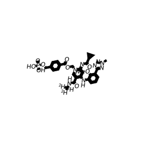 [2H]C([2H])([2H])NC(=O)c1cn(COC(=O)c2ccc(COP(=O)(O)O)cc2)/c(=N/C(=O)C2CC2)cc1Nc1cccc(-c2nnn(C)n2)c1OC